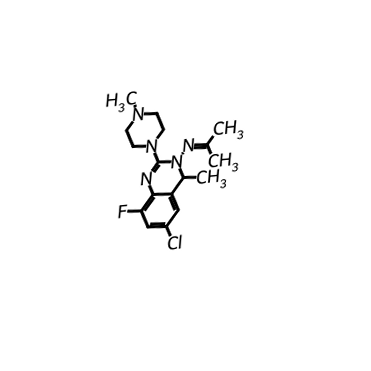 CC(C)=NN1C(N2CCN(C)CC2)=Nc2c(F)cc(Cl)cc2C1C